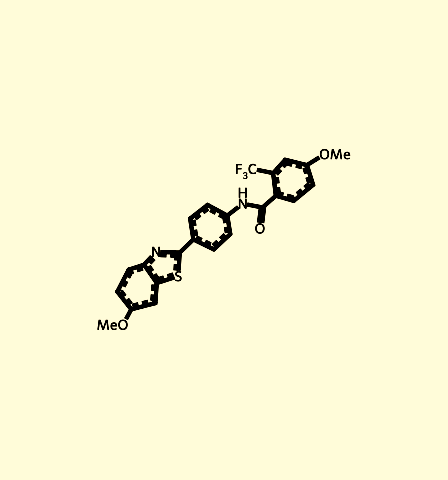 COc1ccc(C(=O)Nc2ccc(-c3nc4ccc(OC)cc4s3)cc2)c(C(F)(F)F)c1